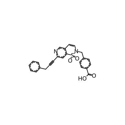 O=C(O)c1ccc(CN2C=Cc3cnc(C#CCc4ccccc4)cc3S2(=O)=O)cc1